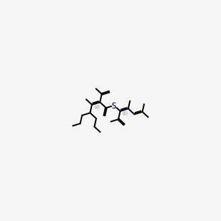 C=C(C)/C(C(=C)S/C(C(=C)C)=C(\C)C=C(C)C)=C(\C)C(CCC)CCC